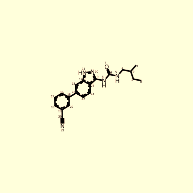 CCC(C)CNC(=O)Nc1n[nH]c2cc(-c3cccc(C#N)c3)ccc12